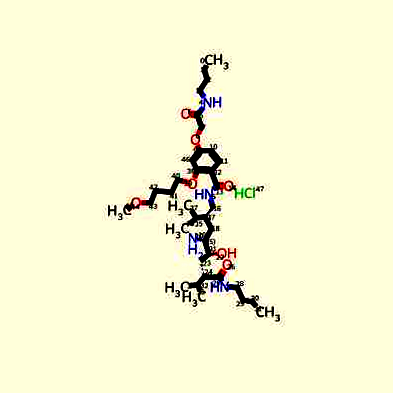 CCCCNC(=O)COc1ccc(C(=O)NC[C@@H](C[C@H](N)[C@@H](O)C[C@H](C(=O)NCCCC)C(C)C)C(C)C)c(OCCCCOC)c1.Cl